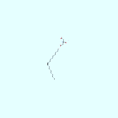 CCCCCCCC/C=C\CCCCCCCCOC(=O)CC(N)(CC(=O)O)C(=O)O